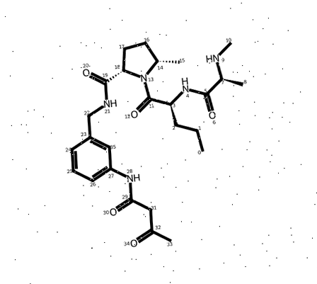 CCC[C@H](NC(=O)[C@H](C)NC)C(=O)N1[C@@H](C)CC[C@H]1C(=O)NCc1cccc(NC(=O)CC(C)=O)c1